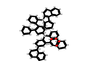 c1ccc(-c2cccc(N(c3ccc(-c4ccccc4-n4c5ccccc5c5c6ccccc6ccc54)c(-c4ccccc4)c3)c3ccc(-c4cccc5ccccc45)cc3-c3ccccc3)c2)cc1